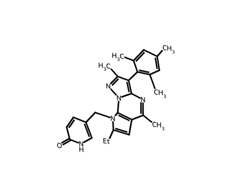 CCc1cc2c(C)nc3c(-c4c(C)cc(C)cc4C)c(C)nn3c2n1Cc1ccc(=O)[nH]c1